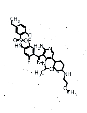 CCc1ccc(Cl)c(S(=O)(=O)Nc2cc(F)c(-c3nn(C(C)C)c4c(C5CCC(NCCOC)CC5)cnc(N)c34)cc2F)c1